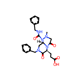 CN1CC(=O)N2[C@@H](CCC(=O)O)C(=O)N(Cc3ccccc3)C[C@@H]2N1C(=O)NCc1ccccc1